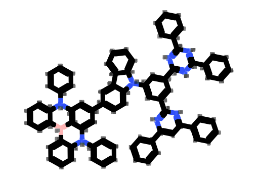 c1ccc(-c2cc(-c3ccccc3)nc(-c3cc(-c4nc(-c5ccccc5)nc(-c5ccccc5)n4)cc(-n4c5ccccc5c5cc(-c6cc7c8c(c6)N(c6ccccc6)c6ccccc6B8c6ccccc6N7c6ccccc6)ccc54)c3)n2)cc1